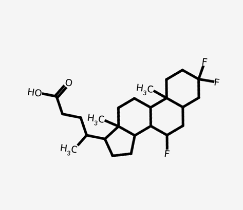 CC(CCC(=O)O)C1CCC2C3C(F)CC4CC(F)(F)CCC4(C)C3CCC12C